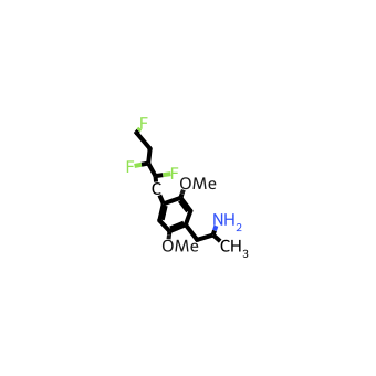 COc1cc(CC(F)C(F)CCF)c(OC)cc1CC(C)N